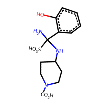 NC(NC1CCN(C(=O)O)CC1)(c1ccccc1O)S(=O)(=O)O